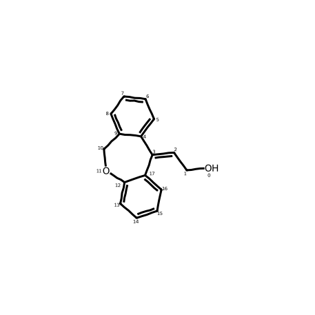 OCC=C1c2ccccc2COc2ccccc21